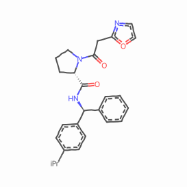 CC(C)c1ccc([C@@H](NC(=O)[C@@H]2CCCN2C(=O)Cc2ncco2)c2ccccc2)cc1